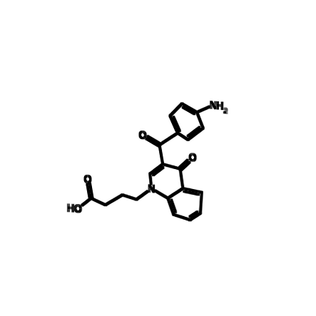 Nc1ccc(C(=O)c2cn(CCCC(=O)O)c3ccccc3c2=O)cc1